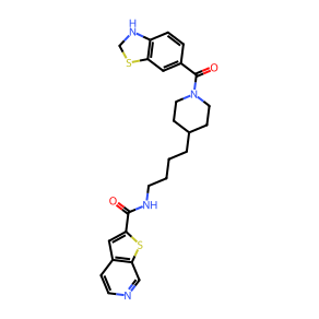 O=C(NCCCCC1CCN(C(=O)c2ccc3c(c2)SCN3)CC1)c1cc2ccncc2s1